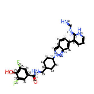 N=C/N=c1\[nH]cccc1-c1ccc2cn(C3CCC(CNC(=O)c4cc(F)c(O)c(F)c4)CC3)nc2c1